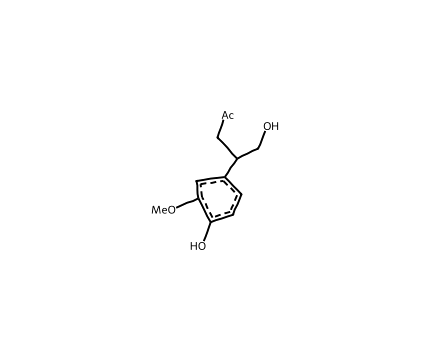 COc1cc(C(CO)CC(C)=O)ccc1O